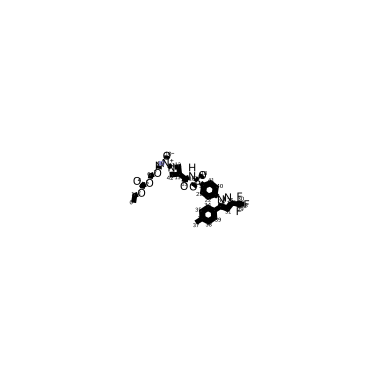 CCOC(=O)OCO/N=[N+](/[O-])N1CC(C(=O)NS(=O)(=O)c2ccc(-n3nc(C(F)(F)F)cc3-c3ccc(C)cc3)cc2)C1